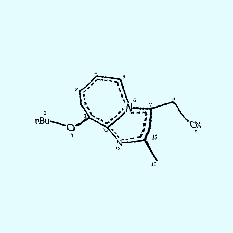 CCCCOc1cccn2c(CC#N)c(C)nc12